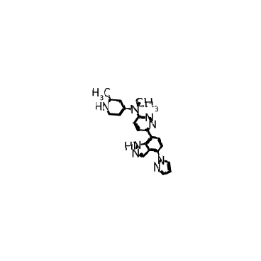 C[C@H]1C[C@@H](N(C)c2ccc(-c3ccc(-n4cccn4)c4cn[nH]c34)nn2)CCN1